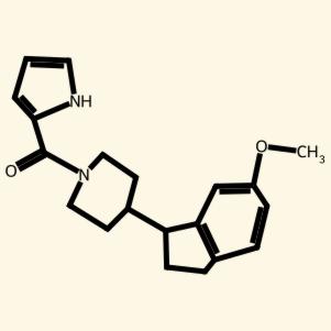 COc1ccc2c(c1)C(C1CCN(C(=O)c3ccc[nH]3)CC1)CC2